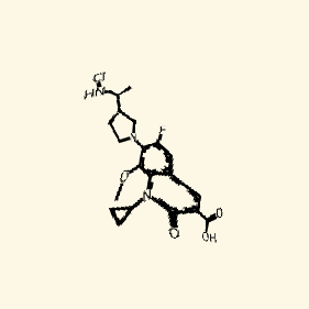 COc1c(N2CC[C@@H]([C@H](C)NCl)C2)c(F)cc2cc(C(=O)O)c(=O)n(C3CC3)c12